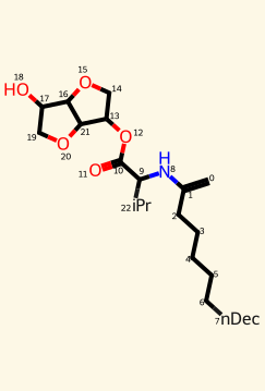 C=C(CCCCCCCCCCCCCCC)NC(C(=O)OC1COC2C(O)COC12)C(C)C